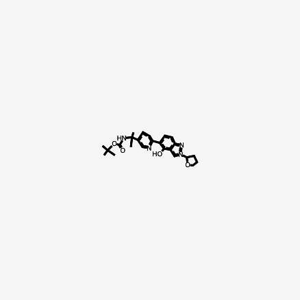 CC(C)(C)OC(=O)NC(C)(C)c1ccc(-c2ccc3nn(C4CCCO4)cc3c2O)nc1